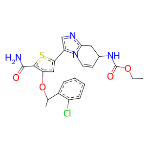 CCOC(=O)NC1C=Cn2c(-c3cc(OC(C)c4ccccc4Cl)c(C(N)=O)s3)cnc2C1